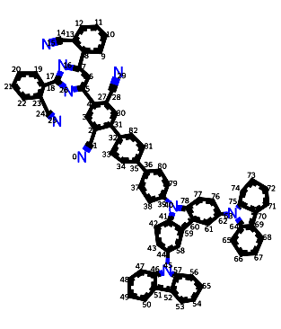 N#Cc1cc(-c2cc(-c3ccccc3C#N)nc(-c3ccccc3C#N)n2)c(C#N)cc1-c1ccc(-c2ccc(-n3c4ccc(-n5c6ccccc6c6ccccc65)cc4c4cc(-n5c6ccccc6c6ccccc65)ccc43)cc2)cc1